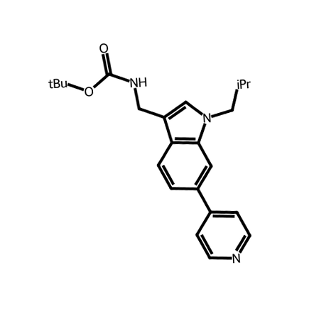 CC(C)Cn1cc(CNC(=O)OC(C)(C)C)c2ccc(-c3ccncc3)cc21